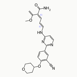 C=C(OC)/C(=C\C=C\Nc1ccnc(-c2ccc(OC3CCOCC3)c(C#N)c2)n1)C(N)=O